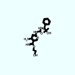 CC(C)(O)[C@@H](NC(=O)Nc1cc(N)c(C(=N)OCCO)cn1)c1ccccc1